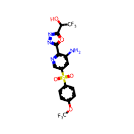 Nc1cc(S(=O)(=O)c2ccc(OC(F)(F)F)cc2)cnc1-c1nnc(C(O)C(F)(F)F)o1